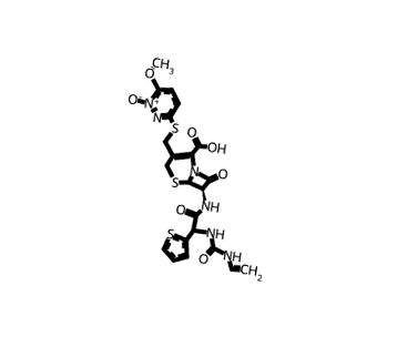 C=CNC(=O)NC(C(=O)N[C@@H]1C(=O)N2C(C(=O)O)=C(CSc3ccc(OC)[n+]([O-])n3)CSC12)c1cccs1